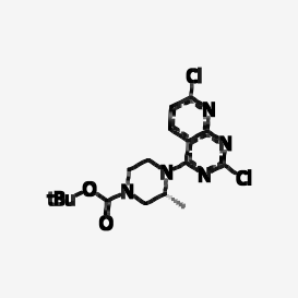 C[C@@H]1CN(C(=O)OC(C)(C)C)CCN1c1nc(Cl)nc2nc(Cl)ccc12